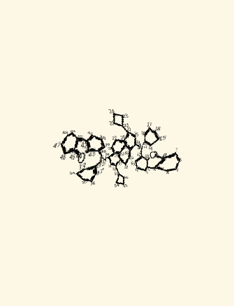 C1=CC2c3ccccc3OC2C(N(C2=CCCC=C2)c2cc(C3CCC3)c3ccc4c(N(c5ccccc5)c5cccc6c5oc5ccccc56)cc(C5CCC5)c5ccc2c3c54)=C1